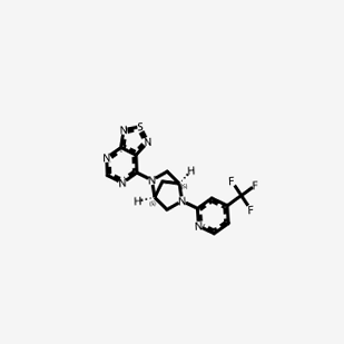 FC(F)(F)c1ccnc(N2C[C@@H]3C[C@H]2CN3c2ncnc3nsnc23)c1